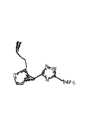 C=CCc1occc1-c1nsc(N)n1